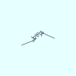 C/C=C1\CC(OC(=O)OC2C/C(=C\C)N3C(OCCCCCCCCCCC)CC3(C)C2)CC(C)(C)N1OCCCCCCCCCCC